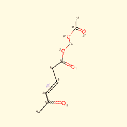 CC(=O)/C=C/CC(=O)OCOC(C)=O